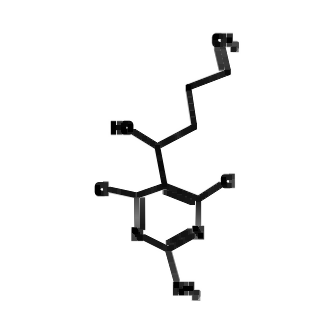 C=CCCC(O)c1c(Cl)nc(N)nc1Cl